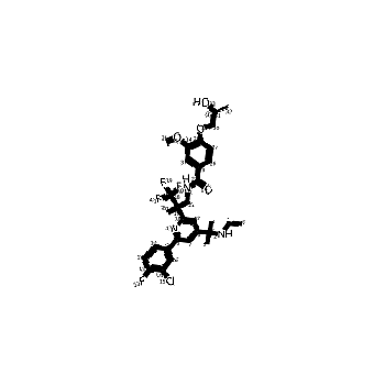 CCNC(C)(C)c1cc(-c2ccc(F)c(Cl)c2)nc(C(C)(CNC(=O)c2ccc(OC[C@H](C)O)c(OC)c2)C(F)(F)F)c1